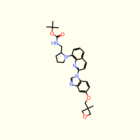 CC1(COc2ccc3c(c2)ncn3-c2ccc3cccc(N4CCCC4CNC(=O)OC(C)(C)C)c3n2)COC1